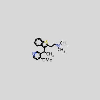 COc1ccncc1C(C)c1c(CCN(C)C)sc2ccccc12